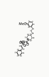 COc1cccc(CCCC2CCN(C(=O)NS(=O)(=O)/C=C/c3ccccc3)CC2)c1